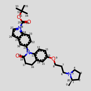 C[C@@H]1CCCN1CCCOc1ccc2c(c1)CCC(=O)N2c1ccc2c(ccn2C(=O)OC(C)(C)C)c1